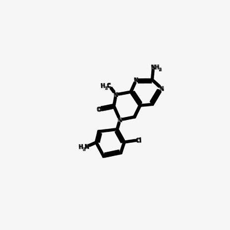 CN1C(=O)N(c2cc(N)ccc2Cl)Cc2cnc(N)nc21